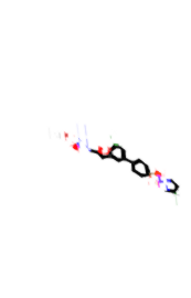 CC(C)(C)OC(=O)NCc1cc2cc(-c3ccc(S(=O)(=O)N4CC[C@@H](F)C4)cc3)cc(Cl)c2o1